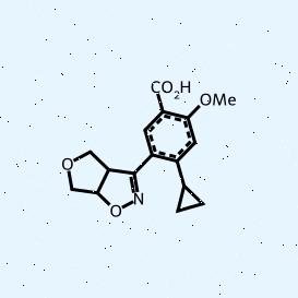 COc1cc(C2CC2)c(C2=NOC3COCC23)cc1C(=O)O